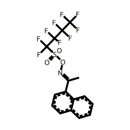 C/C(=N\OS(=O)(=O)C(F)(F)C(F)(F)C(F)(F)C(F)(F)F)c1cccc2ccccc12